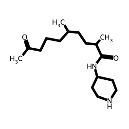 CC(=O)CCCC(C)CCC(C)C(=O)NC1CCNCC1